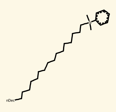 [CH2]CCCCCCCCCCCCCCCCCCCCCCCCC[Si](C)(C)c1ccccc1